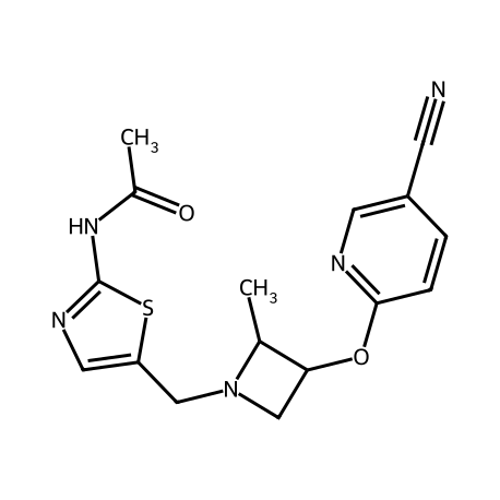 CC(=O)Nc1ncc(CN2CC(Oc3ccc(C#N)cn3)C2C)s1